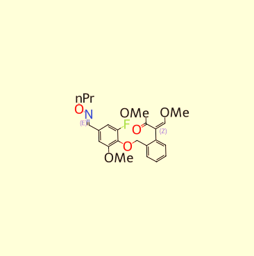 CCCO/N=C/c1cc(F)c(OCc2ccccc2/C(=C/OC)C(=O)OC)c(OC)c1